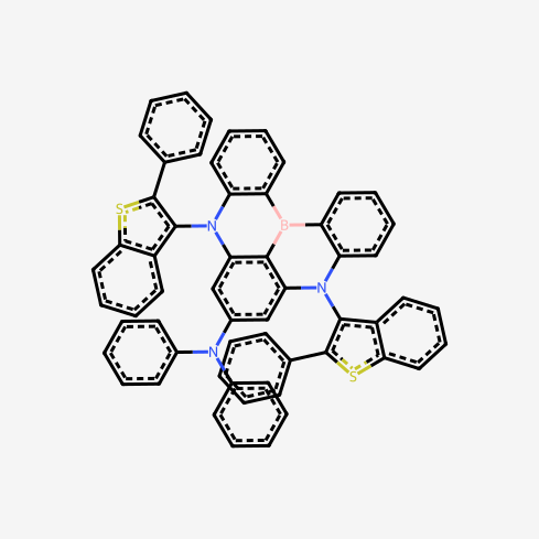 c1ccc(-c2sc3ccccc3c2N2c3ccccc3B3c4ccccc4N(c4c(-c5ccccc5)sc5ccccc45)c4cc(N(c5ccccc5)c5ccccc5)cc2c43)cc1